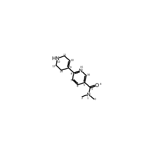 CN(C)C(=O)c1ccc(C2=CCNCC2)nc1